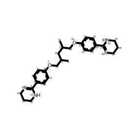 CC(COc1ccc(C2=NCCCN2)cc1)CC(C)COc1ccc(C2=NCCCN2)cc1